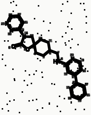 O=C1OC2(CCC(CNc3cc(-c4ccccc4)ccn3)CC2)CN1c1cccnn1